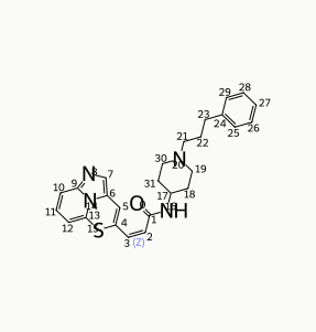 O=C(/C=C\C1=Cc2cnc3cccc(n23)S1)NC1CCN(CCCc2ccccc2)CC1